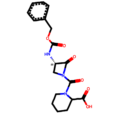 O=C(N[C@H]1CN(C(=O)N2CCCCC2C(=O)O)C1=O)OCc1ccccc1